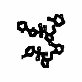 O=C1COCCN1CCc1sccc1NS(=O)(=O)c1ccc(-c2ccccn2)s1.O=C1COCCN1CCc1sccc1NS(=O)(=O)c1cccc(F)c1